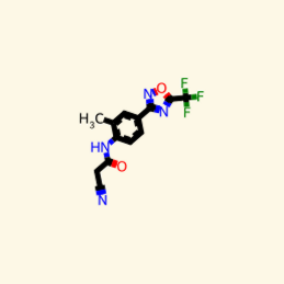 Cc1cc(-c2noc(C(F)(F)F)n2)ccc1NC(=O)CC#N